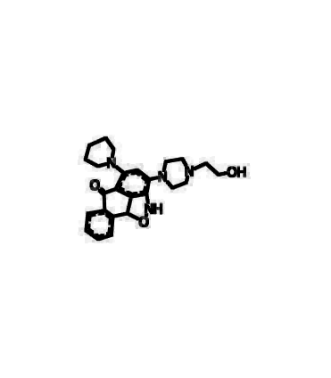 O=C1c2ccccc2C2ONc3c(N4CCN(CCO)CC4)cc(N4CCCCC4)c1c32